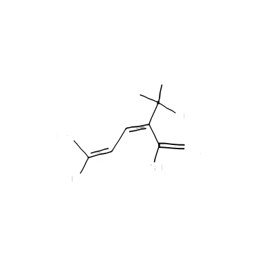 C=C(N)/C(=C\C=C(/C)O)C(C)(C)F